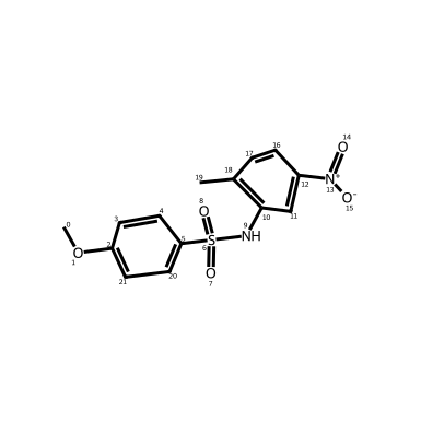 COc1ccc(S(=O)(=O)Nc2cc([N+](=O)[O-])ccc2C)cc1